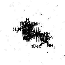 CCCCCCCCCCCCCCCC(=O)N[C@@H](CCCCN)C(=O)N[C@@H](CC(C)C)C(=O)N[C@@H](CO)C(=O)N[C@@H](Cc1cnc[nH]1)C(=O)N[C@@H](CO)C(=O)N[C@@H](CCCCN)C(=O)NCC(=O)N[C@@H](Cc1cnc[nH]1)C(=O)N[C@@H](CCC(N)=O)C(=O)N[C@@H](CCCCN)C(=O)N[C@@H](CCCNC(=N)N)C(=O)N[C@@H](CCCCN)C(=O)N[C@@H](C)C(=O)N[C@@H](CC(C)C)C(=O)N[C@@H](CCCCN)C(N)=O